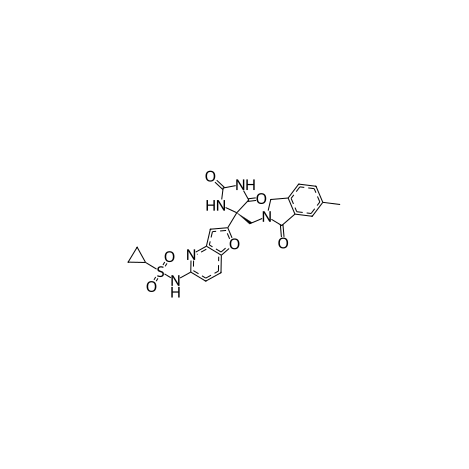 Cc1ccc2c(c1)C(=O)N(C[C@@]1(c3cc4nc(NS(=O)(=O)C5CC5)ccc4o3)NC(=O)NC1=O)C2